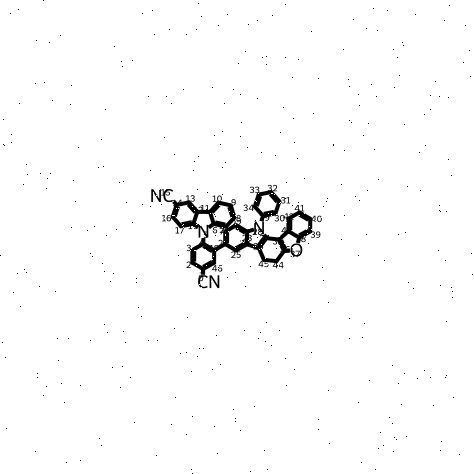 N#Cc1ccc(-n2c3ccccc3c3cc(C#N)ccc32)c(-c2ccc3c(c2)c2c(n3-c3ccccc3)-c3c(oc4ccccc34)CC2)c1